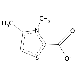 Cc1csc(C(=O)[O-])[n+]1C